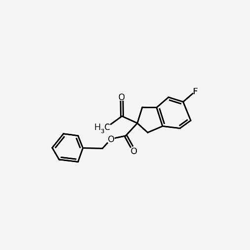 CC(=O)C1(C(=O)OCc2ccccc2)Cc2ccc(F)cc2C1